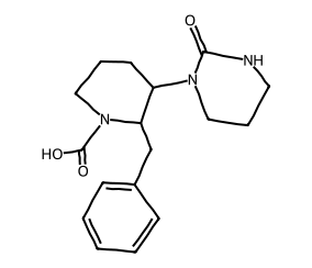 O=C(O)N1CCCC(N2CCCNC2=O)C1Cc1ccccc1